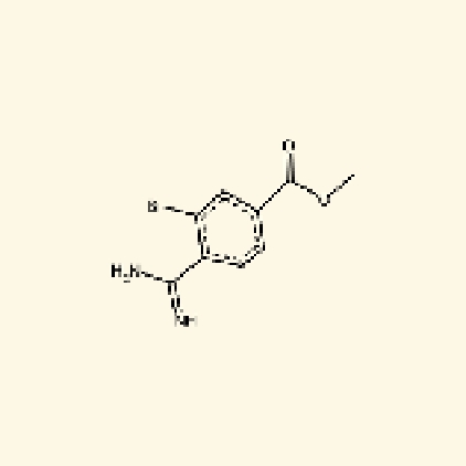 COC(=O)c1ccc(C(=N)N)c(Br)c1